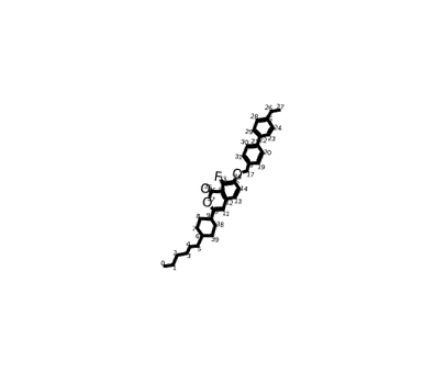 CCCCCCC1CCC(c2cc3ccc(OCc4ccc(-c5ccc(CC)cc5)cc4)c(F)c3c(=O)o2)CC1